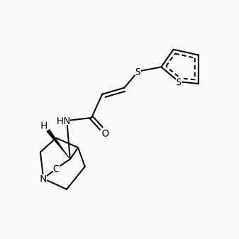 O=C(/C=C/Sc1cccs1)N[C@H]1CN2CCC1CC2